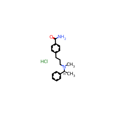 C[C@@H](c1ccccc1)N(C)CCCc1ccc(C(N)=O)cc1.Cl